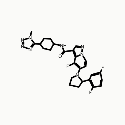 Cn1nnnc1C1CCC(NC(=O)c2cnn3ccc(N4CCCC4c4cc(F)ccc4F)c(F)c23)CC1